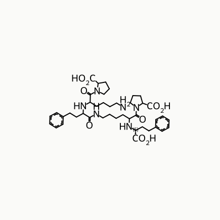 NCCCCC(NC(CCc1ccccc1)C(=O)NCCCCC(N[C@@H](CCc1ccccc1)C(=O)O)C(=O)N1CCCC1C(=O)O)C(=O)N1CCCC1C(=O)O